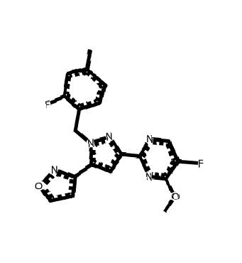 COc1nc(-c2cc(-c3ccon3)n(Cc3ccc(C)cc3F)n2)ncc1F